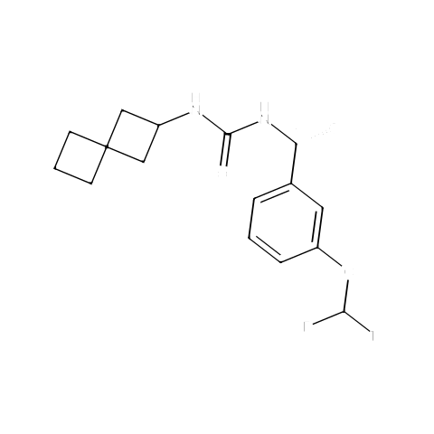 C[C@@H](NC(=O)NC1CC2(CCC2)C1)c1cccc(OC(F)F)c1